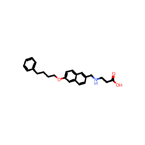 O=C(O)CCNCc1ccc2cc(OCCCCc3ccccc3)ccc2c1